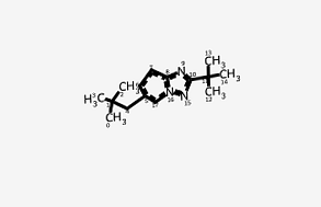 CC(C)(C)Cc1ccc2nc(C(C)(C)C)nn2c1